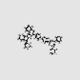 c1ccc(-c2nc(-c3ccccc3)nc(-c3ccc(-c4ccc(-c5nc6ccccc6c6c5sc5c6c6ccccc6n5-c5ccccc5)cc4)cc3)n2)cc1